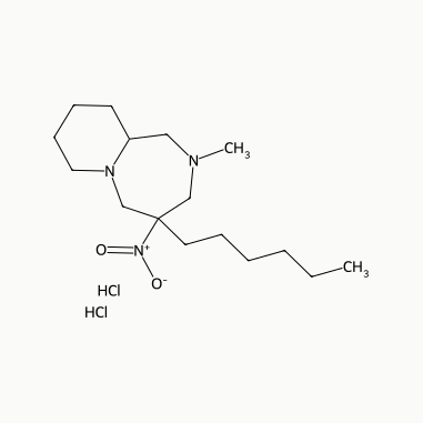 CCCCCCC1([N+](=O)[O-])CN(C)CC2CCCCN2C1.Cl.Cl